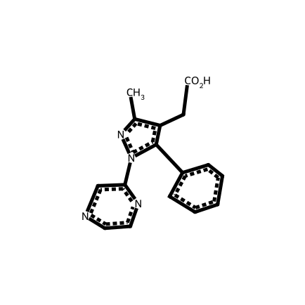 Cc1nn(-c2cnccn2)c(-c2ccccc2)c1CC(=O)O